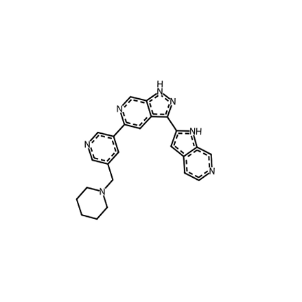 c1cc2cc(-c3n[nH]c4cnc(-c5cncc(CN6CCCCC6)c5)cc34)[nH]c2cn1